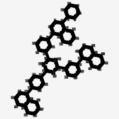 c1ccc(-c2ccc(-c3cccc(-c4nc(-c5ccc(-c6cccc7ccccc67)cc5)nc(-c5cccc(-c6cccc7ccccc67)c5)n4)c3)c3ccccc23)cc1